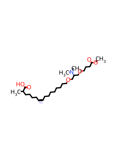 COC(=O)CCCOCC(COCCCCCCCC/C=C\CCCCC(C)C(=O)O)N(C)C